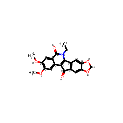 CCn1c2c(c3cc(OC)c(OC)cc3c1=O)C(=O)c1cc3c(cc1-2)OCO3